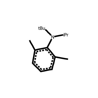 Cc1cccc(C)c1N(C(C)C)C(C)(C)C